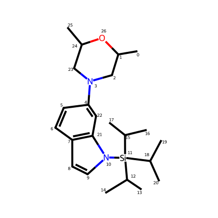 CC1CN(c2ccc3ccn([Si](C(C)C)(C(C)C)C(C)C)c3c2)CC(C)O1